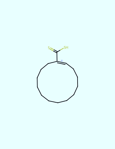 S=C(S)/C1=C/CCCCCCCCCCCC1